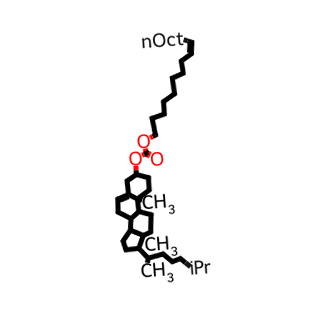 CCCCCCCC/C=C\CCCCCCCCOC(=O)OC1CCC2(C)C(=CCC3C2CCC2(C)C(C(C)CCCC(C)C)CCC32)C1